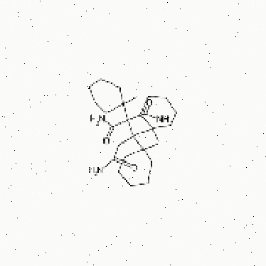 CC1(C(C(N)=O)(C(N)=O)C(CC(N)=O)(C2(C)CCCCC2)C2(C)CCCCC2)CCCCC1